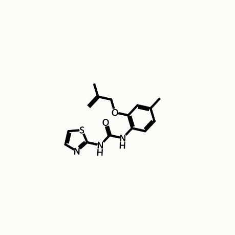 C=C(C)COc1cc(C)ccc1NC(=O)Nc1nccs1